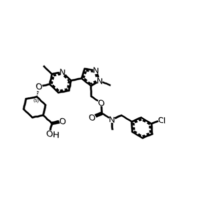 Cc1nc(-c2cnn(C)c2COC(=O)N(C)Cc2cccc(Cl)c2)ccc1O[C@H]1CCCC(C(=O)O)C1